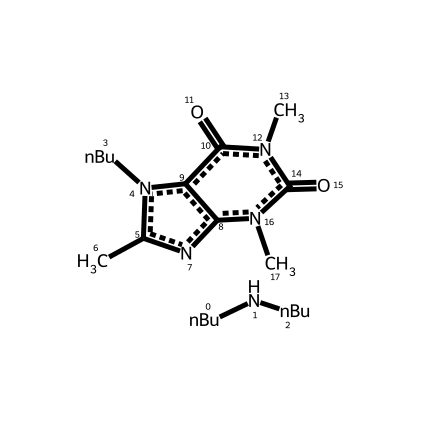 CCCCNCCCC.CCCCn1c(C)nc2c1c(=O)n(C)c(=O)n2C